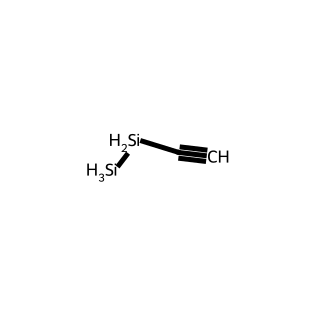 C#C[SiH2][SiH3]